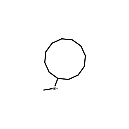 CBC1CCCCCCCCCCC1